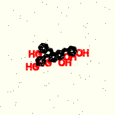 Oc1ccc(Cc2cc3c(Cc4cccc(O)c4)c(Cc4ccc(O)cc4)c(O)cc3c(O)c2O)cc1